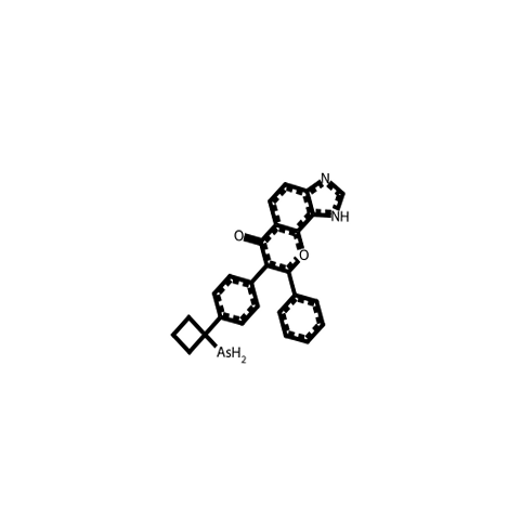 O=c1c(-c2ccc(C3([AsH2])CCC3)cc2)c(-c2ccccc2)oc2c1ccc1nc[nH]c12